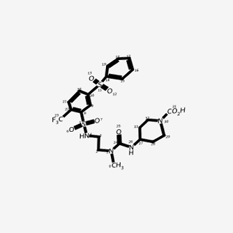 CN(CCNS(=O)(=O)c1cc(S(=O)(=O)c2ccccc2)ccc1C(F)(F)F)C(=O)NC1CCN(C(=O)O)CC1